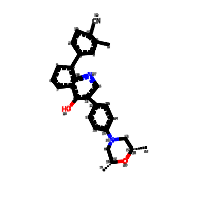 Cc1cc(-c2cccc3c(O)c(-c4ccc(N5C[C@@H](C)O[C@@H](C)C5)cc4)cnc23)ccc1C#N